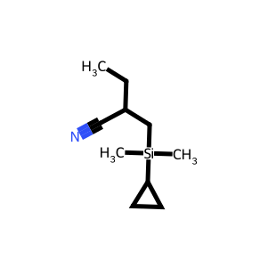 CCC(C#N)C[Si](C)(C)C1CC1